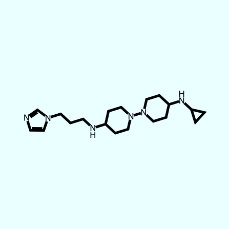 c1cn(CCCNC2CCN(N3CCC(NC4CC4)CC3)CC2)cn1